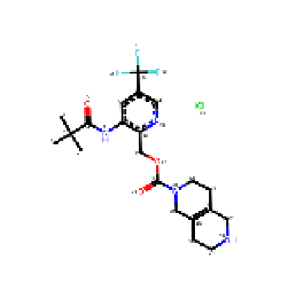 CC(C)(C)C(=O)Nc1cc(C(F)(F)F)cnc1COC(=O)N1CCC2=C(CCNC2)C1.Cl